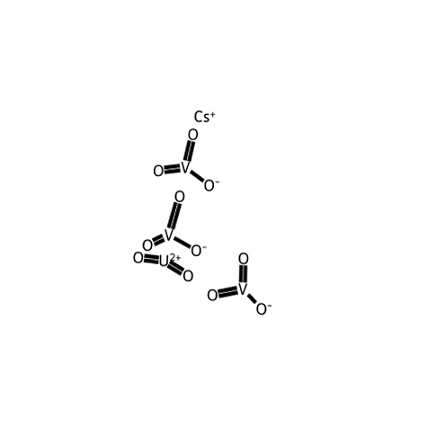 [Cs+].[O]=[U+2]=[O].[O]=[V](=[O])[O-].[O]=[V](=[O])[O-].[O]=[V](=[O])[O-]